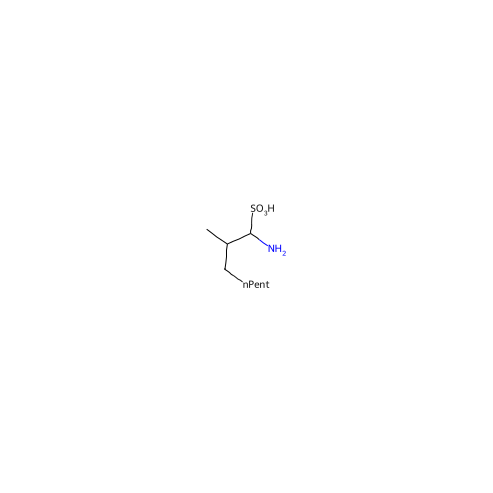 CCCCCCC(C)C(N)S(=O)(=O)O